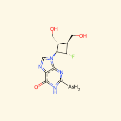 O=c1[nH]c([AsH2])nc2c1ncn2[C@@H]1[C@@H](F)[C@H](CO)[C@H]1CO